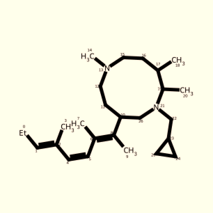 CC/C=C(C)/C=C\C(C)=C(/C)C1CCN(C)CCC(C)C(C)N(CC2CC2)C1